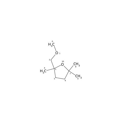 COCC1(C)CCC(C)(C)O1